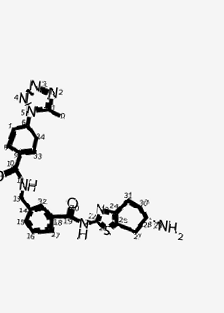 Cc1nnnn1C1C=CC(C(=O)NCc2cccc(C(=O)Nc3nc4c(s3)C[C@@H](N)CC4)c2)=CC1